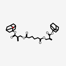 C=C(COC(=O)CCCCC(=O)OCC(=C)C(=O)OC12CC3CC(CC(C3)C1)C2)C(=O)OC12CC3CC(CC(C3)C1)C2